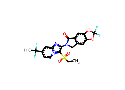 CCS(=O)(=O)c1c(N2Cc3cc4c(cc3C2=O)OC(F)(F)O4)nc2cc(C(C)(F)F)ccn12